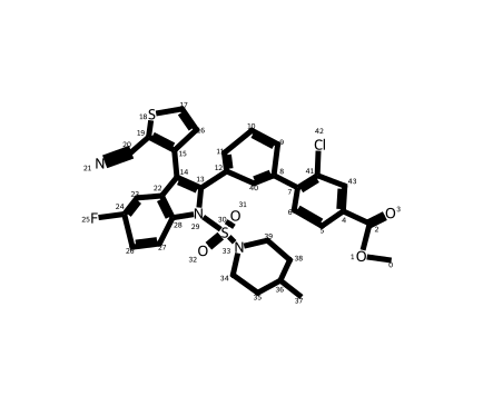 COC(=O)c1ccc(-c2cccc(-c3c(-c4ccsc4C#N)c4cc(F)ccc4n3S(=O)(=O)N3CCC(C)CC3)c2)c(Cl)c1